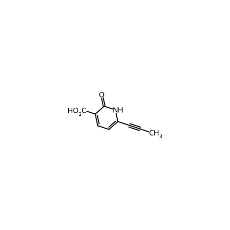 CC#Cc1ccc(C(=O)O)c(=O)[nH]1